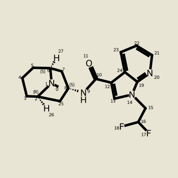 CN1[C@@H]2CCC[C@H]1C[C@H](NC(=O)c1cn(CC(F)F)c3ncccc13)C2